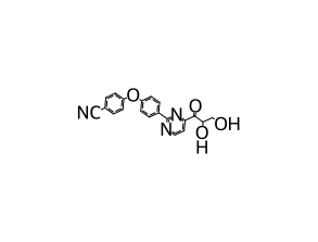 N#Cc1ccc(Oc2ccc(-c3nccc(C(=O)[C@H](O)CO)n3)cc2)cc1